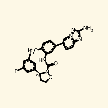 Cc1ccc(-c2ccc3nc(N)nn3c2)cc1NC(=O)N1OCC[C@H]1c1cc(F)cc(F)c1